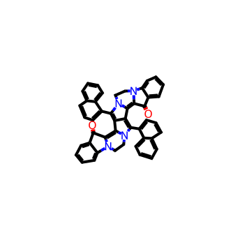 O=C1C2=c3c4c(-c5cccc6ccccc56)n5c(c4c(-c4cccc6ccccc46)n3CCN2c2ccccc21)=C1C(=O)c2ccccc2N1CC5